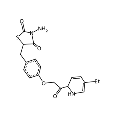 CCC1=CNC(C(=O)COc2ccc(CC3SC(=O)N(N)C3=O)cc2)C=C1